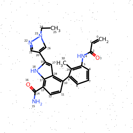 C=CC(=O)Nc1cccc(-c2ccc(C(N)=O)c3[nH]c(-c4cnn(CC)c4)cc23)c1C